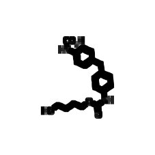 O=C(O)Nc1ccc(Cc2ccc(NC(=O)OCCCCO)cc2)cc1